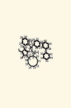 CC1=C(C)C(C)[C]([Zr]([NH]C2CCCCCCCC2)[SiH](c2ccccc2)c2ccccc2)=C1C.c1ccc(-c2ccccc2)cc1